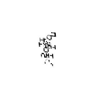 CCCCC(CC)C(=O)Nc1ccc(NC(=O)Nc2ccc(Cl)cc2)c(O)c1